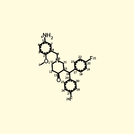 COc1ccc(N)cc1CN1CCC(=O)C(C(c2ccc(F)cc2)c2ccc(F)cc2)C1